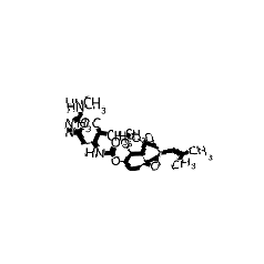 CNc1nnc(C[C@@H](NC(=O)O[C@@H]2CC[C@]3(CO3)[C@@H]([C@@]3(C)O[C@@H]3CC=C(C)C)[C@@H]2OC)C(C)C)o1